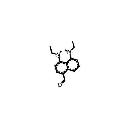 CCN(C)c1cccc2c(C=O)ccc(N(C)CC)c12